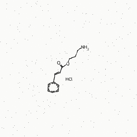 Cl.NCCCOC(=O)C=Cc1ccccc1